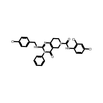 O=C(Nc1ccc(Cl)cc1Cl)N1CCc2nc(NCc3ccc(Cl)cc3)n(-c3ccccc3)c(=O)c2C1